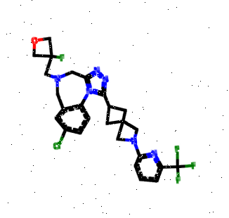 FC1(CN2Cc3cc(Cl)ccc3-n3c(nnc3C3CC4(C3)CN(c3cccc(C(F)(F)F)n3)C4)C2)COC1